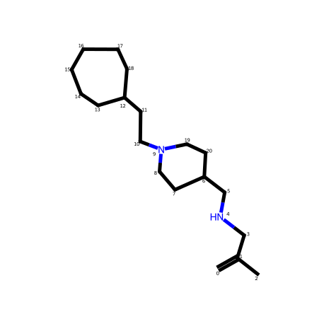 C=C(C)CNCC1CCN(CCC2CCCCCC2)CC1